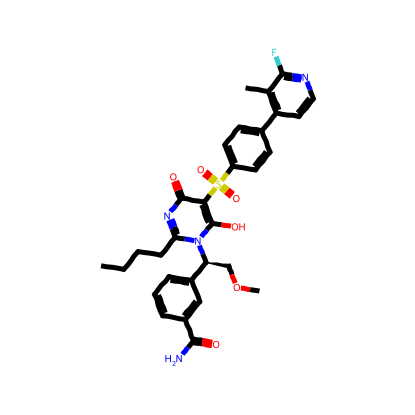 CCCCc1nc(=O)c(S(=O)(=O)c2ccc(-c3ccnc(F)c3C)cc2)c(O)n1[C@@H](COC)c1cccc(C(N)=O)c1